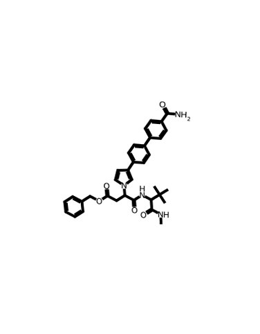 CNC(=O)C(NC(=O)C(CC(=O)OCc1ccccc1)n1ccc(-c2ccc(-c3ccc(C(N)=O)cc3)cc2)c1)C(C)(C)C